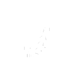 [CH2]c1c(O)ccc2nc3ccc(OC)cc3cc12